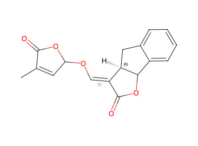 CC1=CC(O/C=C2/C(=O)OC3c4ccccc4C[C@H]23)OC1=O